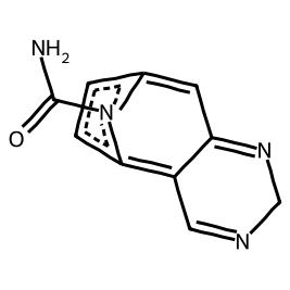 NC(=O)n1c2ccc1=C1C=NCN=C1C=2